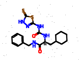 O=C(Nc1n[nH]c(=S)s1)N[C@@H](CC1CCCCC1)C(=O)NCc1ccccc1